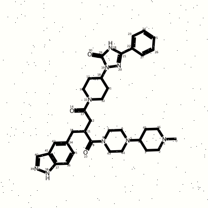 CN1CCC(N2CCN(C(=O)C(CC(=O)N3CCC(n4nc(-c5ccccc5)[nH]c4=O)CC3)Cc3ccc4[nH]ncc4c3)CC2)CC1